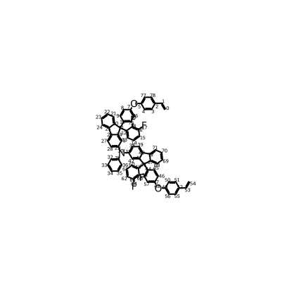 C=Cc1ccc(Oc2ccc(C3(c4cccc(F)c4F)c4ccccc4-c4ccc(N(c5ccccc5)c5ccc6c(c5)C(c5ccc(Oc7ccc(C=C)cc7)cc5)(c5cccc(F)c5F)c5ccccc5-6)cc43)cc2)cc1